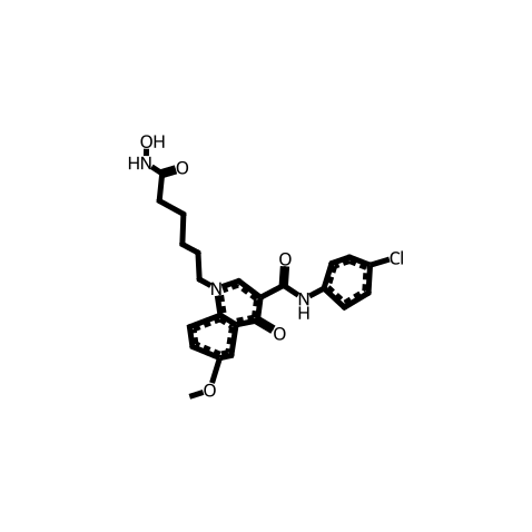 COc1ccc2c(c1)c(=O)c(C(=O)Nc1ccc(Cl)cc1)cn2CCCCCC(=O)NO